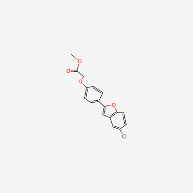 COC(=O)COc1ccc(-c2cc3cc(Cl)ccc3o2)cc1